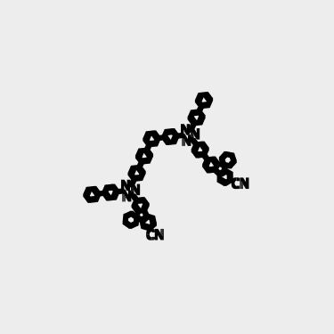 N#Cc1ccc2c(c1)C1(CCCCC1)c1cc(-c3ccc(-c4nc(-c5ccc(-c6ccccc6)cc5)nc(-c5ccc(-c6cccc(-c7ccc(-c8ccc(-c9nc(-c%10ccc(-c%11ccccc%11)cc%10)nc(-c%10ccc%11c(c%10)C%10(CCCCC%10)c%10cc(C#N)ccc%10-%11)n9)cc8)cc7)c6)cc5)n4)cc3)ccc1-2